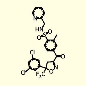 Cc1cc(C(=O)C2=NOC(c3cc(Cl)cc(Cl)c3)(C(F)(F)F)C2)ccc1S(=O)(=O)NCc1ccccn1